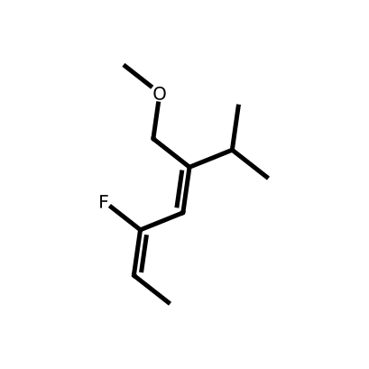 C/C=C(F)\C=C(/COC)C(C)C